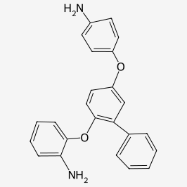 Nc1ccc(Oc2ccc(Oc3ccccc3N)c(-c3ccccc3)c2)cc1